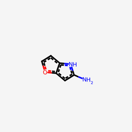 Nc1cc2occc2[nH]1